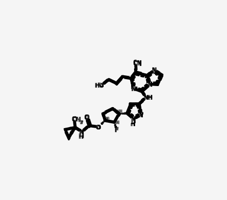 CC1(NC(=O)O[C@@H]2CC[C@H](c3cc(Nc4nc(CCCO)c(C#N)c5nccn45)n[nH]3)[C@@H]2F)CC1